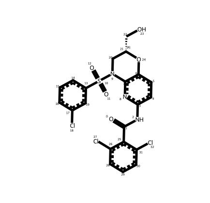 O=C(Nc1ccc2c(n1)N(S(=O)(=O)c1cccc(Cl)c1)C[C@H](CO)O2)c1c(Cl)cccc1Cl